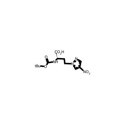 CC(C)(C)OC(=O)N[C@@H](CCn1cc([N+](=O)[O-])cn1)C(=O)O